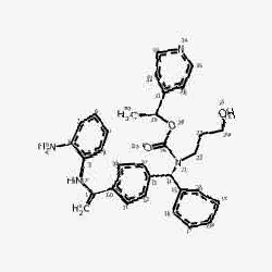 C=C(Nc1ccccc1N)c1ccc([C@H](c2ccccc2)N(CCCO)C(=O)O[C@@H](C)c2ccncc2)cc1